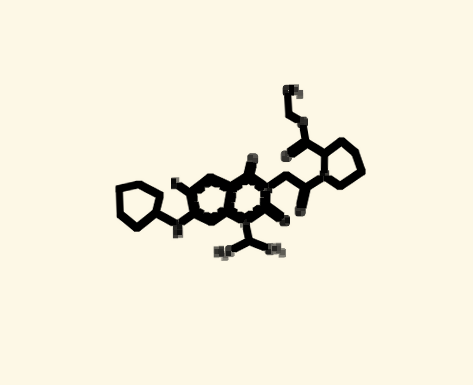 CCOC(=O)C1CCCCN1C(=O)Cn1c(=O)c2cc(F)c(NC3CCCCC3)cc2n(C(C)C)c1=O